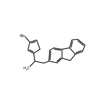 CC(Cc1ccc2c(c1)Cc1ccccc1-2)C1=CC(C(C)(C)C)=CC1